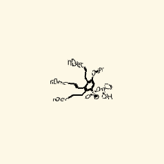 CCCCCCCCCCCCc1c(OC(C)C)cc(S(=O)(=O)[O][Ti](=[O])[OH])c(CCCCCCCCCCCC)c1CCCCCCCCCCCC